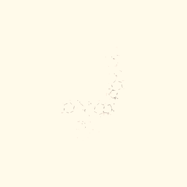 CC1CCC(C(C)C)C(N2CCN(/C(=N\c3ccccc3)Nc3ccc4[nH]nc(-c5nc6ccc(N7CCC(N8CCCCC8)CC7)cc6[nH]5)c4c3)CC2)C1